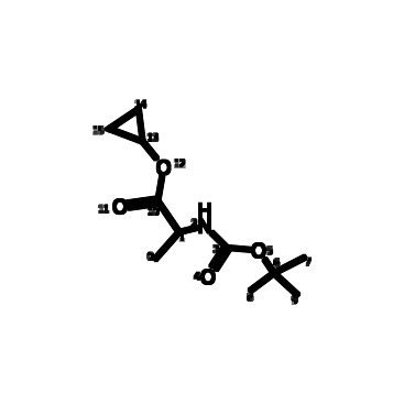 CC(NC(=O)OC(C)(C)C)C(=O)OC1CC1